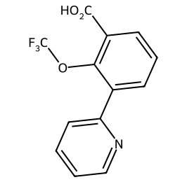 O=C(O)c1cccc(-c2ccccn2)c1OC(F)(F)F